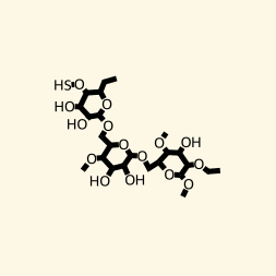 CCOC1C(OC)OC(COC2OC(COC3OC(CC)C(OS)C(O)C3O)C(OC)C(O)C2O)C(OC)C1O